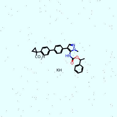 CC(OC(=O)Nc1c(-c2ccc(-c3ccc(C4(C(=O)O)CC4)cc3)cc2)cnn1C)c1ccccc1.[KH]